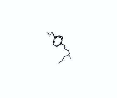 Bc1ccc(/C=C/CN(C)CCC)cc1